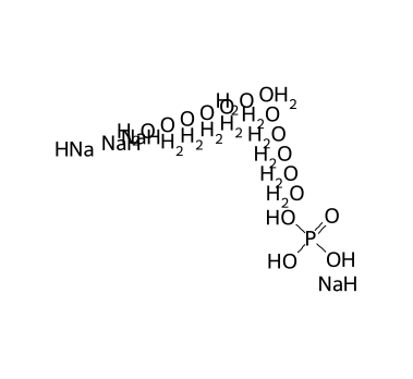 O.O.O.O.O.O.O.O.O.O.O.O.O=P(O)(O)O.[NaH].[NaH].[NaH].[NaH]